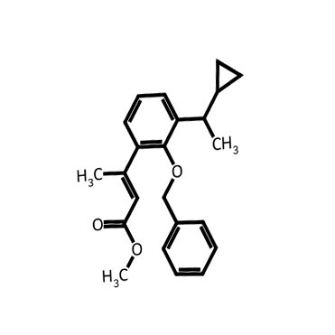 COC(=O)C=C(C)c1cccc(C(C)C2CC2)c1OCc1ccccc1